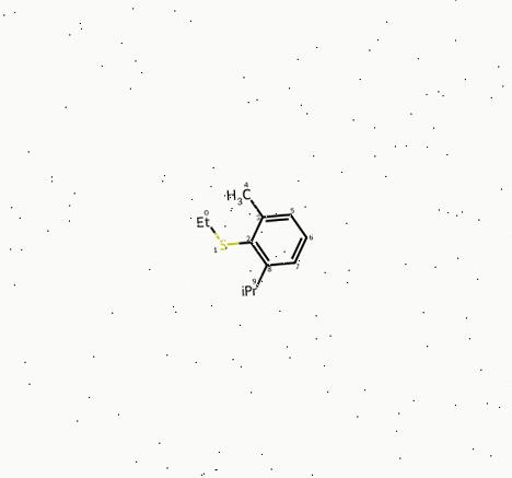 CCSc1c(C)cccc1C(C)C